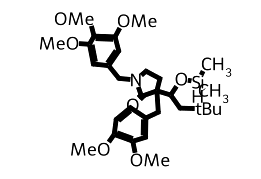 COc1ccc(CC2(C(CC(C)(C)C)O[SiH](C)C)CCN(Cc3cc(OC)c(OC)c(OC)c3)C2=O)cc1OC